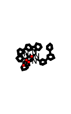 c1ccc(-c2cccc(-c3cccc(-c4nc(-c5ccccc5)nc(-n5c6ccccc6c6ccc7c8ccccc8n(-c8cccc(-c9ccccc9)c8-c8ccccc8)c7c65)n4)c3)c2)cc1